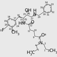 CCCN(CCC)C(=O)CCCC(=O)N[C@@H](Cc1ccc(F)c(C)c1)[C@H](O)CNCc1ccccc1